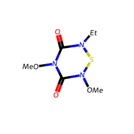 CCN1SN(OC)C(=O)N(OC)C1=O